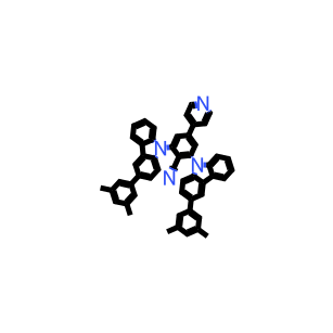 Cc1cc(C)cc(-c2ccc3c(c2)c2ccccc2n3-c2cc(-c3ccncc3)cc(-n3c4ccccc4c4cc(-c5cc(C)cc(C)c5)ccc43)c2C#N)c1